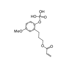 C=CC(=O)OCCCc1cc(OC)ccc1OP(=O)(O)O